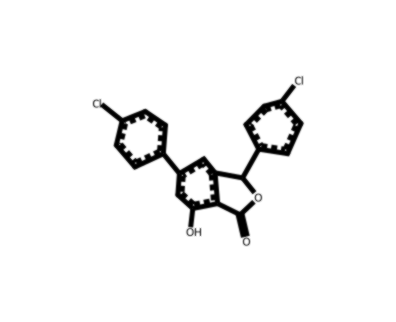 O=C1OC(c2ccc(Cl)cc2)c2cc(-c3ccc(Cl)cc3)cc(O)c21